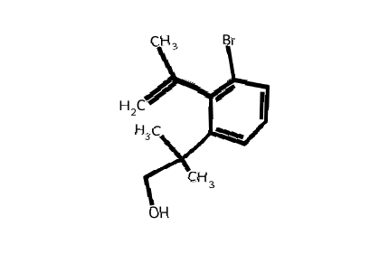 C=C(C)c1c(Br)cccc1C(C)(C)CO